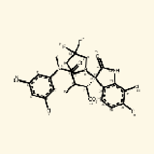 CC(C(=O)N(C)c1cc(Cl)cc(Cl)c1)C(C(=O)O)[C@]1(N2CCC(F)(F)C2)C(=O)Nc2c1ccc(Cl)c2Cl